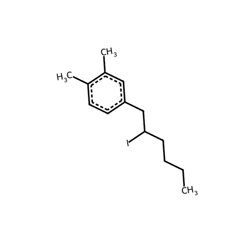 CCCCC(I)Cc1ccc(C)c(C)c1